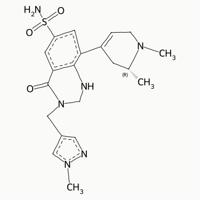 C[C@@H]1CC(c2cc(S(N)(=O)=O)cc3c2NCN(Cc2cnn(C)c2)C3=O)=CCN1C